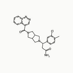 Cc1ccc(C(CC(N)=O)N2CC3CN(C(=O)c4cnnc5ccccc45)CC3C2)cc1Cl